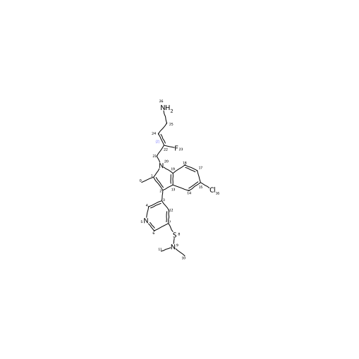 Cc1c(-c2cncc(SN(C)C)c2)c2cc(Cl)ccc2n1C/C(F)=C/CN